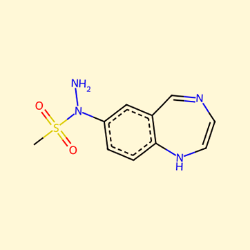 CS(=O)(=O)N(N)c1ccc2c(c1)C=NC=CN2